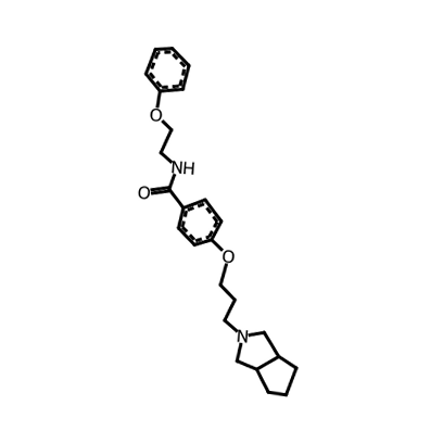 O=C(NCCOc1ccccc1)c1ccc(OCCCN2CC3CCCC3C2)cc1